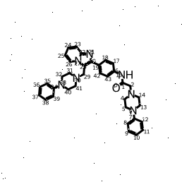 O=C(CN1CCN(c2ccccc2)CC1)Nc1ccc(-c2nc3ccccn3c2CN2CCN(c3ccccc3)CC2)cc1